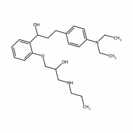 CCCNCC(O)COc1ccccc1C(O)CCc1ccc(N(CC)CC)cc1